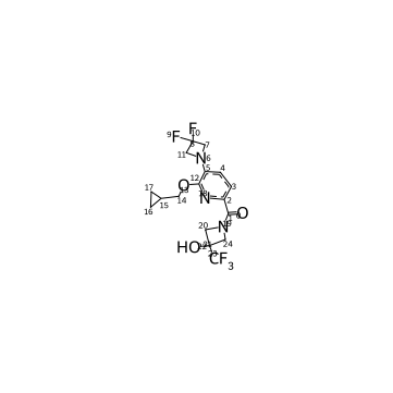 O=C(c1ccc(N2CC(F)(F)C2)c(OCC2CC2)n1)N1CC(O)(C(F)(F)F)C1